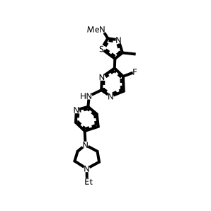 CCN1CCN(c2ccc(Nc3ncc(F)c(-c4sc(NC)nc4C)n3)nc2)CC1